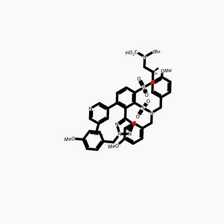 COc1ccc(CN(Cc2ccc(OC)cc2)S(=O)(=O)c2c(S(=O)(=O)N[C@H](C)CN(C(=O)O)C(C)(C)C)ccc(-c3cncc(N)c3)c2-c2nnn(Cc3ccc(OC)cc3)n2)cc1